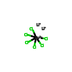 [Cl][Ru-2]([Cl])([Cl])([Cl])([Cl])[Cl].[Li+].[Li+]